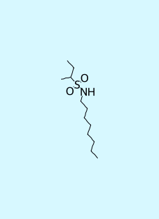 CCCCCCCCNS(=O)(=O)C(C)CC